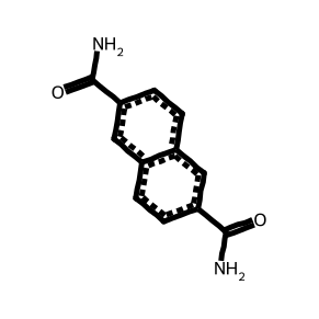 NC(=O)c1ccc2cc(C(N)=O)ccc2c1